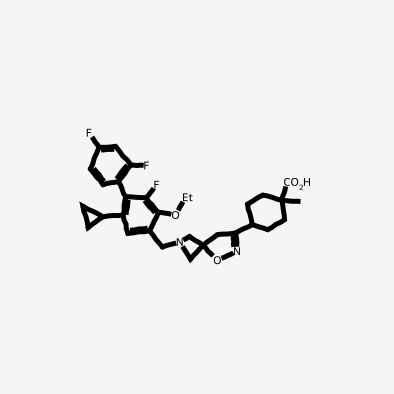 CCOc1c(CN2CC3(CC(C4CCC(C)(C(=O)O)CC4)=NO3)C2)cc(C2CC2)c(-c2ccc(F)cc2F)c1F